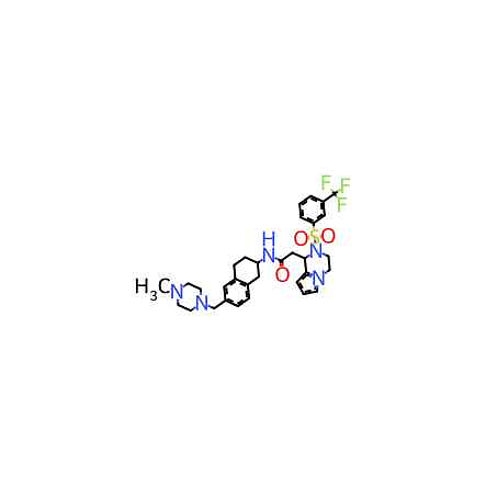 CN1CCN(Cc2ccc3c(c2)CCC(NC(=O)CC2c4cccn4CCN2S(=O)(=O)c2cccc(C(F)(F)F)c2)C3)CC1